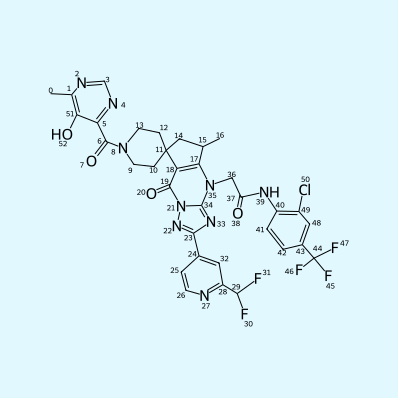 Cc1ncnc(C(=O)N2CCC3(CC2)CC(C)c2c3c(=O)n3nc(-c4ccnc(C(F)F)c4)nc3n2CC(=O)Nc2ccc(C(F)(F)F)cc2Cl)c1O